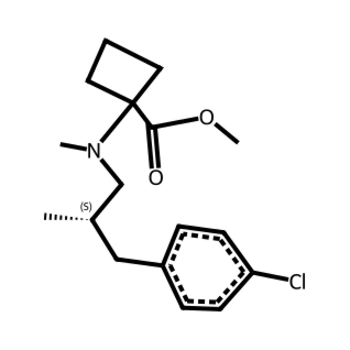 COC(=O)C1(N(C)C[C@@H](C)Cc2ccc(Cl)cc2)CCC1